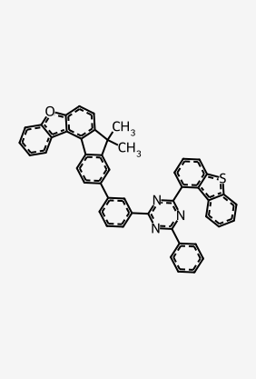 CC1(C)c2cc(-c3cccc(-c4nc(-c5ccccc5)nc(-c5cccc6sc7ccccc7c56)n4)c3)ccc2-c2c1ccc1oc3ccccc3c21